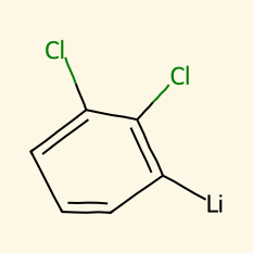 [Li][c]1cccc(Cl)c1Cl